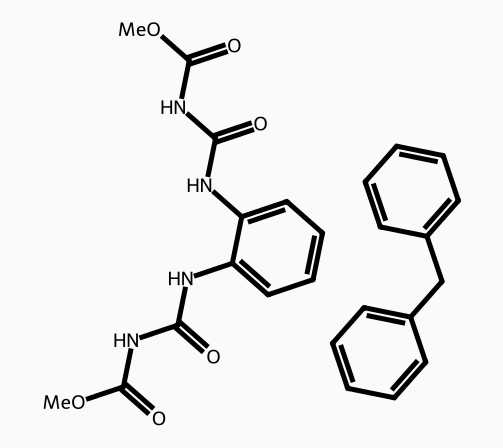 COC(=O)NC(=O)Nc1ccccc1NC(=O)NC(=O)OC.c1ccc(Cc2ccccc2)cc1